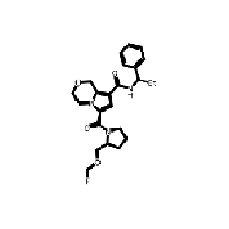 CC[C@@H](NC(=O)c1cc(C(=O)N2CCCC2COCF)n2c1COCC2)c1ccccc1